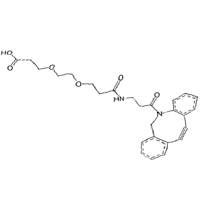 O=C(O)CCOCCOCCC(=O)NCCC(=O)N1Cc2ccccc2C#Cc2ccccc21